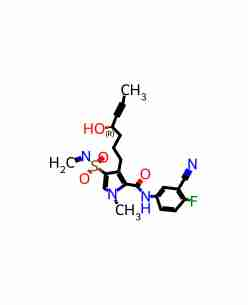 C=NS(=O)(=O)c1cn(C)c(C(=O)Nc2ccc(F)c(C#N)c2)c1CCC[C@@H](O)C#CC